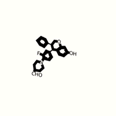 O=CC1CCN(c2ccc([C@@H]3c4ccc(O)cc4OC[C@@H]3c3ccccc3)cc2F)CC1